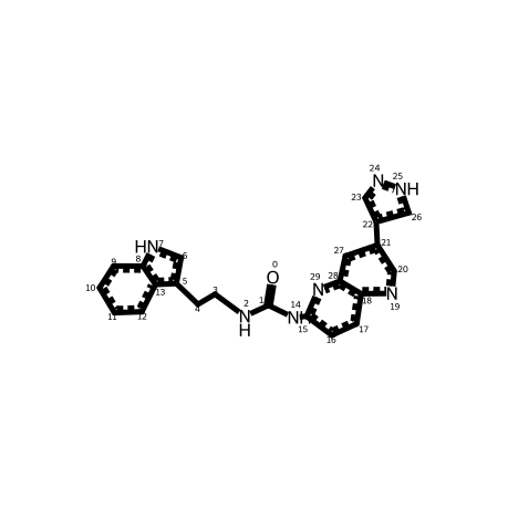 O=C(NCCc1c[nH]c2ccccc12)Nc1ccc2ncc(-c3cn[nH]c3)cc2n1